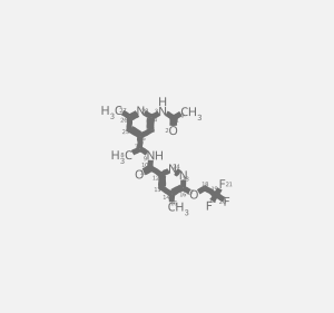 CC(=O)Nc1cc(C(C)NC(=O)c2cc(C)c(OCC(F)(F)F)nn2)cc(C)n1